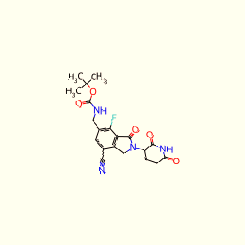 CC(C)(C)OC(=O)NCc1cc(C#N)c2c(c1F)C(=O)N(C1CCC(=O)NC1=O)C2